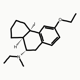 CCOc1ccc2c(c1)[C@]1(I)CCCC[C@@H]1[C@@H](N(C)CC)C2